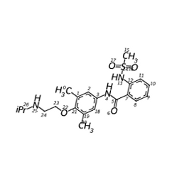 Cc1cc(NC(=O)c2ccccc2NS(C)(=O)=O)cc(C)c1OCCNC(C)C